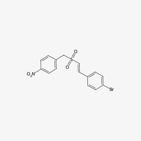 O=[N+]([O-])c1ccc(CS(=O)(=O)C=Cc2ccc(Br)cc2)cc1